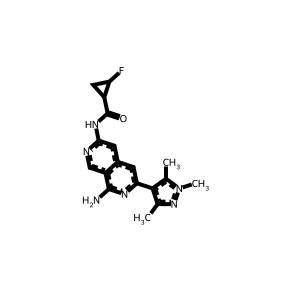 Cc1nn(C)c(C)c1-c1cc2cc(NC(=O)C3CC3F)ncc2c(N)n1